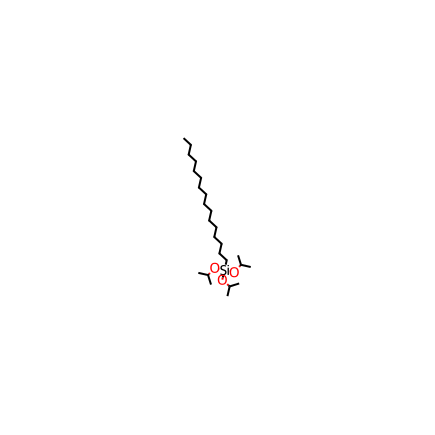 CCCCCCCCCCCCCCCC[Si](OC(C)C)(OC(C)C)OC(C)C